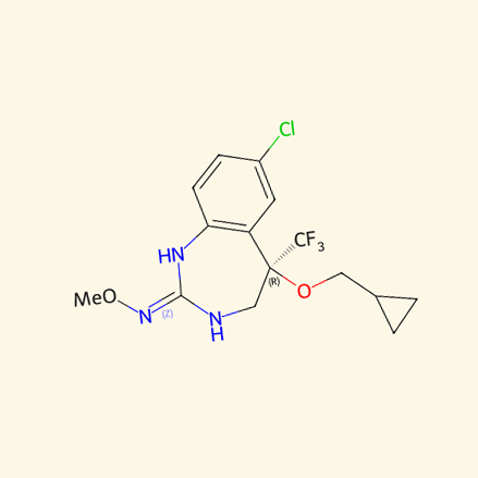 CO/N=C1/NC[C@@](OCC2CC2)(C(F)(F)F)c2cc(Cl)ccc2N1